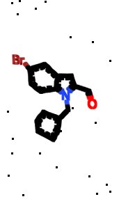 O=Cc1cc2cc(Br)ccc2n1Cc1ccccc1